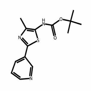 Cc1nc(-c2cccnc2)sc1NC(=O)OC(C)(C)C